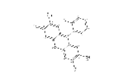 Cc1ccccc1-c1c2cc(O)c(=O)cc-2oc2cc(O)c(O)cc12